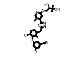 Cc1cnc(OC[C@H](O)C(C)(C)O)cc1-c1nnc(Cc2ccc(Cl)c(Oc3cc(Cl)cc(C#N)c3)c2F)o1